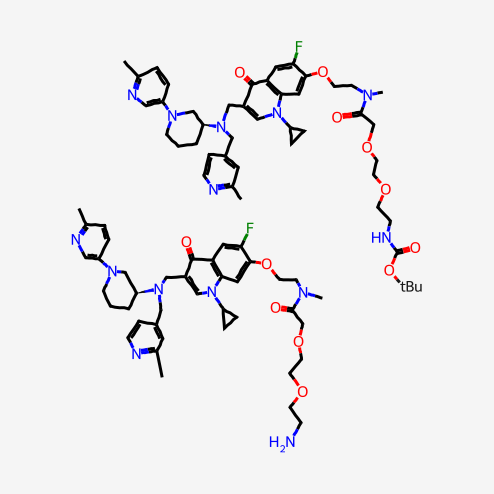 Cc1ccc(N2CCC[C@H](N(Cc3ccnc(C)c3)Cc3cn(C4CC4)c4cc(OCCN(C)C(=O)COCCOCCN)c(F)cc4c3=O)C2)cn1.Cc1ccc(N2CCC[C@H](N(Cc3ccnc(C)c3)Cc3cn(C4CC4)c4cc(OCCN(C)C(=O)COCCOCCNC(=O)OC(C)(C)C)c(F)cc4c3=O)C2)cn1